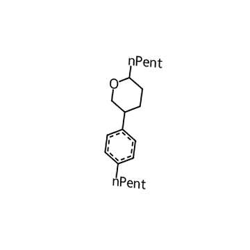 CCCCCc1ccc(C2CCC(CCCCC)OC2)cc1